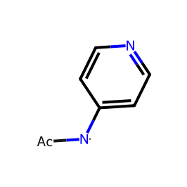 CC(=O)[N]c1ccncc1